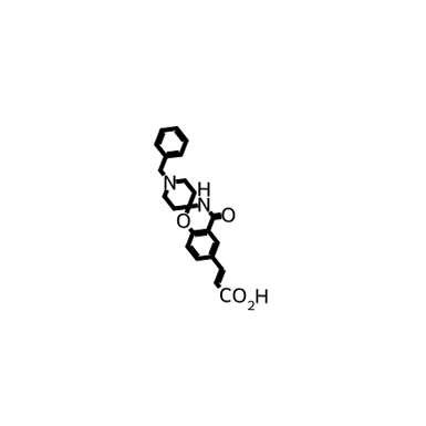 O=C(O)C=Cc1ccc2c(c1)C(=O)NC1(CCN(Cc3ccccc3)CC1)O2